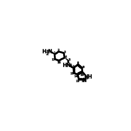 N[C@H]1CC[C@H](CNc2ccc3[nH]ncc3c2)CC1